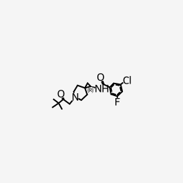 CC(C)(C)C(=O)CN1CCC2(CC1)C[C@H]2NC(=O)c1cc(F)cc(Cl)c1